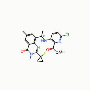 COC(=O)c1nc(Cl)ccc1N[C@H](C)c1cc(C)cc2c(=O)n(C)c(C3(F)CC3)nc12